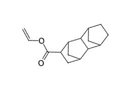 C=COC(=O)C1CC2CC1C1C3CCC(C3)C21